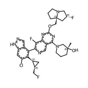 C[C@@]1(O)CCCN(c2nc(OC[C@@]34CCCN3C[C@H](F)C4)nc3c(F)c(-c4c([C@H]5C[C@H]5CF)c(Cl)cc5[nH]ncc45)ncc23)C1